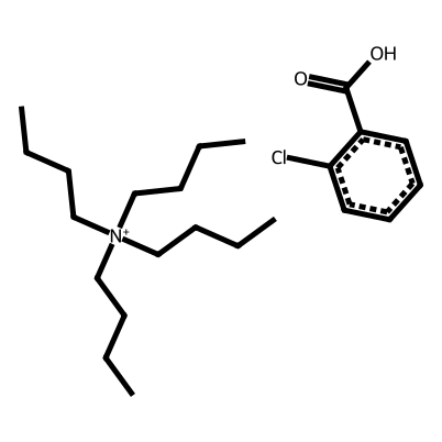 CCCC[N+](CCCC)(CCCC)CCCC.O=C(O)c1ccccc1Cl